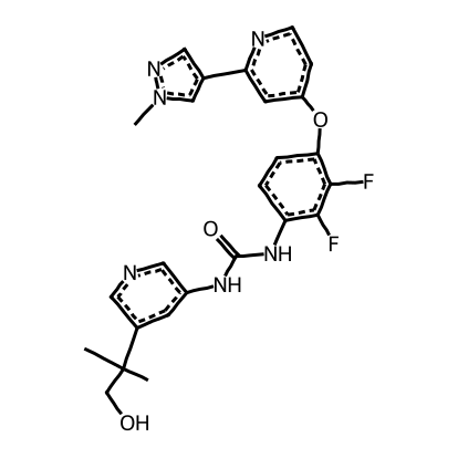 Cn1cc(-c2cc(Oc3ccc(NC(=O)Nc4cncc(C(C)(C)CO)c4)c(F)c3F)ccn2)cn1